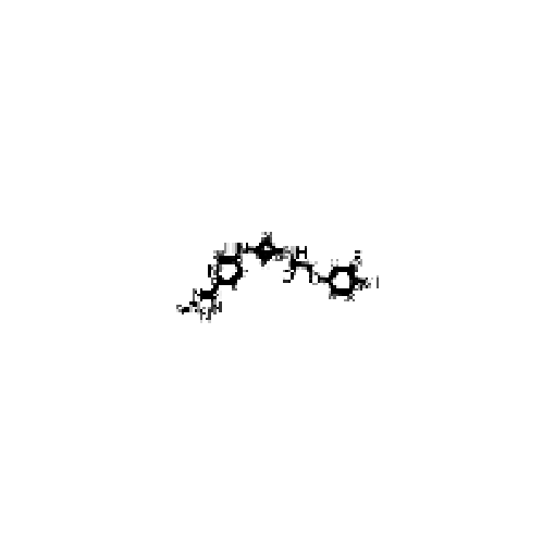 Cn1nnc(-c2ccc(NC34CC(NC(=O)COc5ccc(Cl)c(F)c5)(C3)C4)cn2)n1